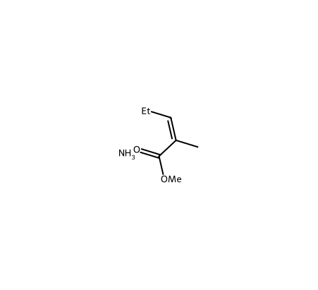 CCC=C(C)C(=O)OC.N